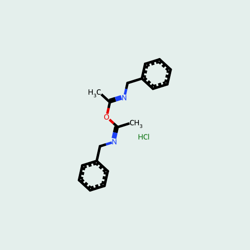 CC(=NCc1ccccc1)OC(C)=NCc1ccccc1.Cl